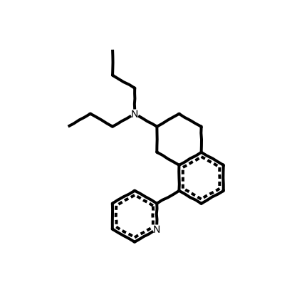 CCCN(CCC)C1CCc2cccc(-c3ccccn3)c2C1